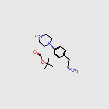 CC(C)(C)OC=O.NCCc1ccc(N2CCNCC2)cc1